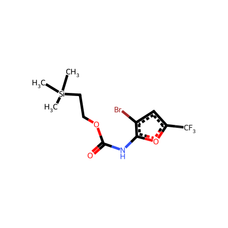 C[Si](C)(C)CCOC(=O)Nc1oc(C(F)(F)F)cc1Br